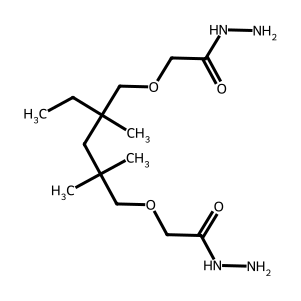 CCC(C)(COCC(=O)NN)CC(C)(C)COCC(=O)NN